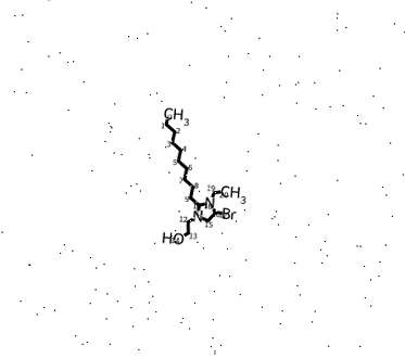 CCCCCCCCCCC1N(CCO)CC(Br)N1CC